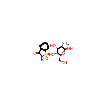 N[C@H]1C(O)O[C@H](CO)[C@@H](O)[C@@H]1O.O=C1NS(=O)(=O)c2ccccc21